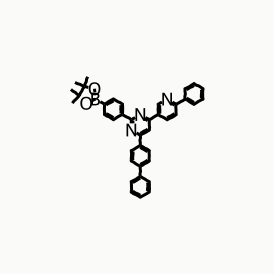 CC1(C)OB(c2ccc(-c3nc(-c4ccc(-c5ccccc5)cc4)cc(-c4ccc(-c5ccccc5)nc4)n3)cc2)OC1(C)C